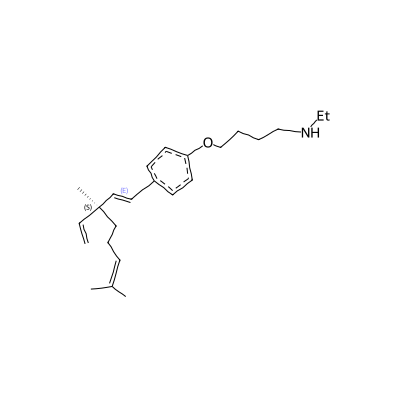 C=C[C@@](C)(/C=C/c1ccc(OCCCCNCC)cc1)CCC=C(C)C